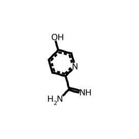 N=C(N)c1ccc(O)cn1